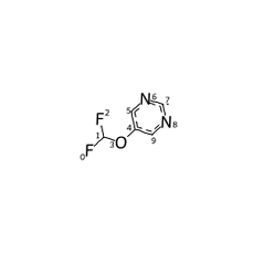 FC(F)Oc1cn[c]nc1